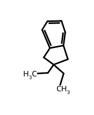 CCC1(CC)Cc2ccccc2C1